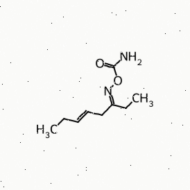 CCC=CCC(CC)=NOC(N)=O